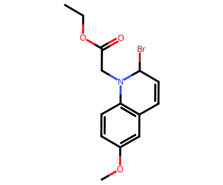 CCOC(=O)CN1c2ccc(OC)cc2C=CC1Br